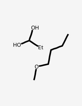 CCC(O)O.CCCCOC